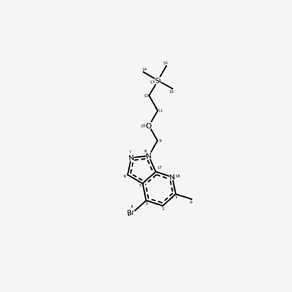 Cc1cc(Br)c2cnn(COCC[Si](C)(C)C)c2n1